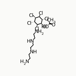 CC(=O)O.Cl[C@H]1[C@H](Cl)[C@@H](Cl)[C@@H](Cl)[C@H](Cl)[C@H]1Cl.NCCNCCNCCN